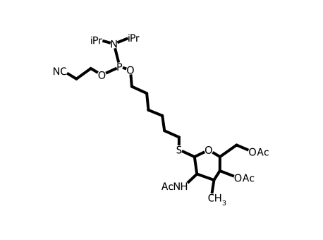 CC(=O)NC1C(SCCCCCCOP(OCCC#N)N(C(C)C)C(C)C)OC(COC(C)=O)C(OC(C)=O)C1C